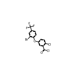 O=C(Cl)c1cc(Oc2ccc(C(F)(F)F)cc2Br)ccc1Cl